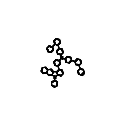 c1ccc(-c2cccc(-c3ccc(N(c4ccc(-c5ccccc5-c5ccccc5)cc4)c4cccc(-c5cccc6c5c5cc7ccccc7cc5n6-c5ccccc5)c4)cc3)c2)cc#1